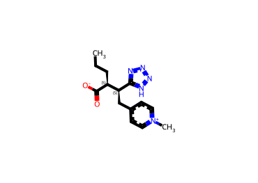 CCC[C@H](C(=O)[O-])[C@H](Cc1cc[n+](C)cc1)c1nnn[nH]1